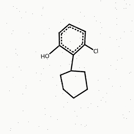 Oc1cccc(Cl)c1C1CCCCC1